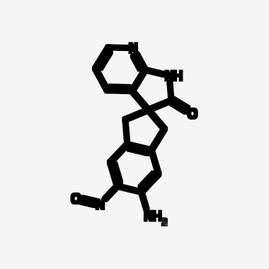 Nc1cc2c(cc1N=O)CC1(C2)C(=O)Nc2ncccc21